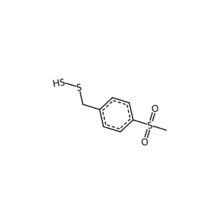 CS(=O)(=O)c1ccc(CSS)cc1